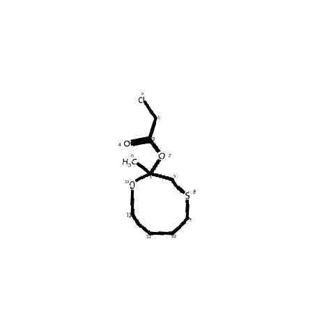 CC1(OC(=O)CCl)CSCCCCO1